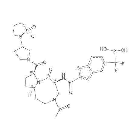 CC(=O)N1CC[C@H]2CC[C@@H](C(=O)N3CCC(N4CCCS4(=O)=O)C3)N2C(=O)[C@@H](NC(=O)c2cc3cc(C(F)(F)P(O)O)ccc3s2)C1